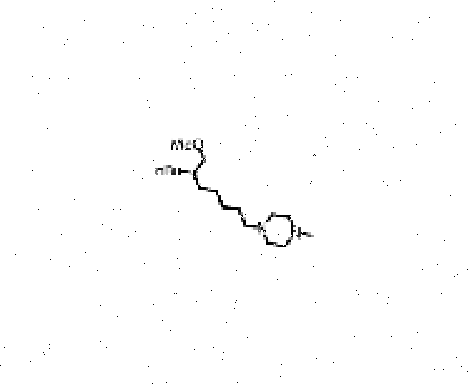 CCCC[C@H](CCCCCN1CCN(C)CC1)COC